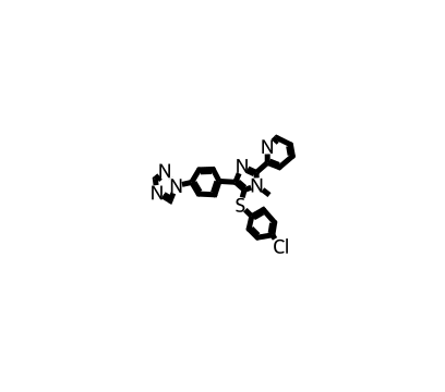 Cn1c(-c2ccccn2)nc(-c2ccc(-n3cncn3)cc2)c1Sc1ccc(Cl)cc1